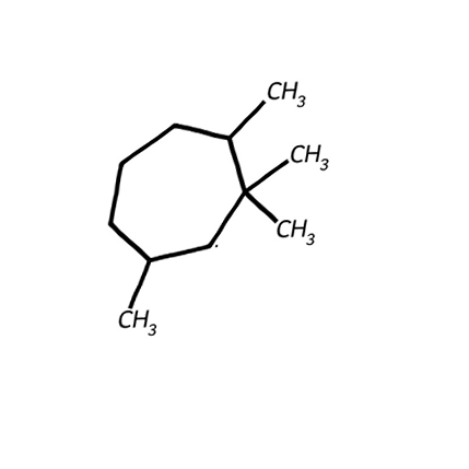 CC1[CH]C(C)(C)C(C)CCC1